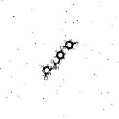 O=C(Cc1ccc(Oc2ccc(F)cc2)cc1)Nc1ccnc(Cl)n1